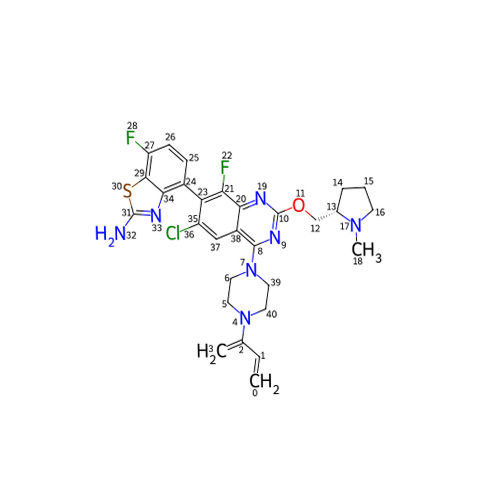 C=CC(=C)N1CCN(c2nc(OC[C@@H]3CCCN3C)nc3c(F)c(-c4ccc(F)c5sc(N)nc45)c(Cl)cc23)CC1